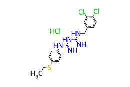 CCSc1ccc(NC(=N)NC(=N)NCc2ccc(Cl)c(Cl)c2)cc1.Cl